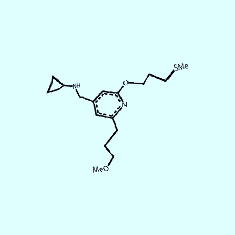 COCCCc1cc(CNC2CC2)cc(OCCCSC)n1